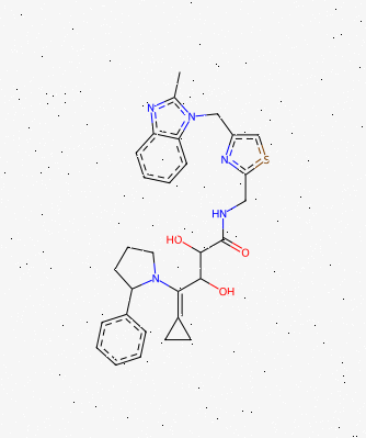 Cc1nc2ccccc2n1Cc1csc(CNC(=O)C(O)C(O)C(=C2CC2)N2CCCC2c2ccccc2)n1